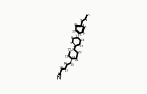 CCCc1ccc([C@H]2CC[C@H]([C@H]3CC[C@H](CCC=CC#N)CC3)CC2)cc1